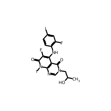 CC(O)Cn1cnc2c(c(Nc3ccc(I)cc3F)c(F)c(=O)n2I)c1=O